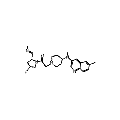 CN=C[C@@H]1C[C@H](F)CN1C(=O)CN1CCC(N(C)c2cnc3ccc(C)cc3c2)CC1